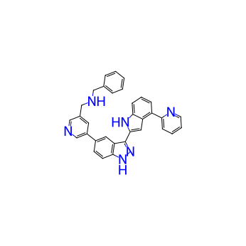 c1ccc(CNCc2cncc(-c3ccc4[nH]nc(-c5cc6c(-c7ccccn7)cccc6[nH]5)c4c3)c2)cc1